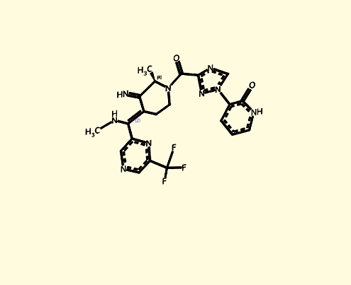 CN/C(=C1/CCN(C(=O)c2ncn(-c3ccc[nH]c3=O)n2)[C@H](C)C1=N)c1cncc(C(F)(F)F)n1